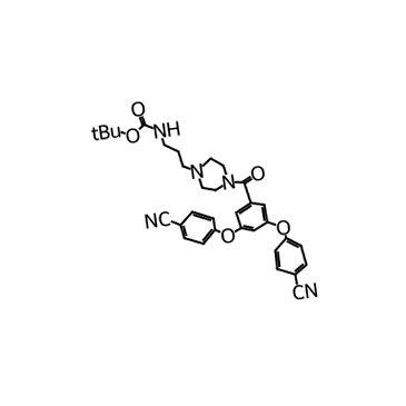 CC(C)(C)OC(=O)NCCCN1CCN(C(=O)c2cc(Oc3ccc(C#N)cc3)cc(Oc3ccc(C#N)cc3)c2)CC1